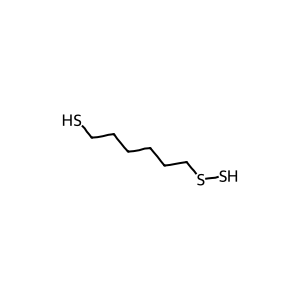 SCCCCCCSS